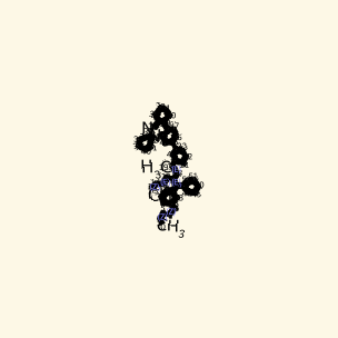 C/C=C\C=C/c1cccc(/C(=C(\C=C\C=C/C)/C=C(\C)c2cccc(-c3ccc4c5ccccc5c5nc6ccccc6n5c4c3)c2)c2ccccc2)c1